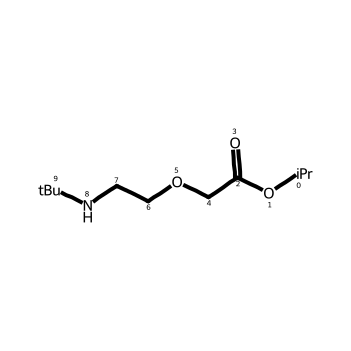 CC(C)OC(=O)COCCNC(C)(C)C